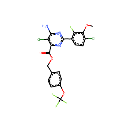 COc1c(Cl)ccc(-c2nc(N)c(Cl)c(C(=O)OCc3ccc(OC(F)(F)F)cc3)n2)c1F